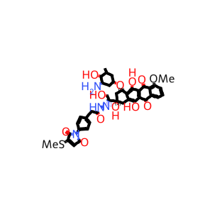 COc1cccc2c1C(=O)c1c(O)c3c(c(O)c1C2=O)C[C@@](O)(/C(CO)=N/NC(=O)Cc1ccc(N2C(=O)C=C(SC)C2=O)cc1)C[C@@H]3OC1CC(C)C(O)C(N)C1